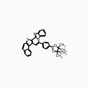 CC1(C)OB(c2ccc(-c3cc4c(sc5ccc6ccccc6c54)c4nc5ccccc5n34)cc2)OC1(C)C